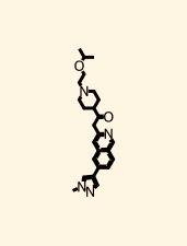 CC(C)OCCN1CCC(C(=O)Cc2cc3cc(-c4cnn(C)c4)ccc3cn2)CC1